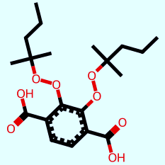 CCCC(C)(C)OOc1c(C(=O)O)ccc(C(=O)O)c1OOC(C)(C)CCC